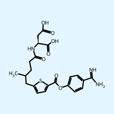 CC(CCC(=O)N[C@@H](CC(=O)O)C(=O)O)Cc1ccc(C(=O)Oc2ccc(C(=N)N)cc2)s1